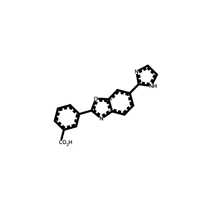 O=C(O)c1cccc(-c2nc3ccc(-c4ncc[nH]4)cc3o2)c1